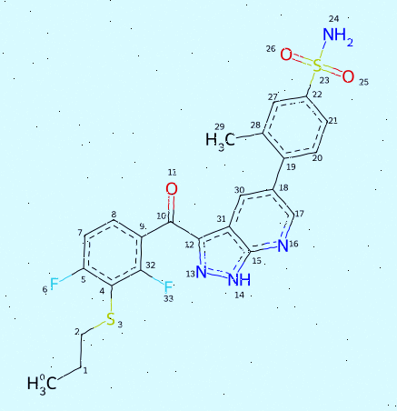 CCCSc1c(F)ccc(C(=O)c2n[nH]c3ncc(-c4ccc(S(N)(=O)=O)cc4C)cc23)c1F